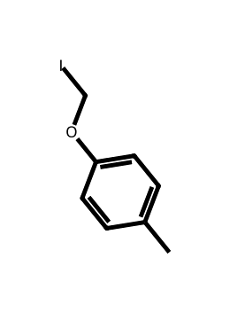 Cc1ccc(OCI)cc1